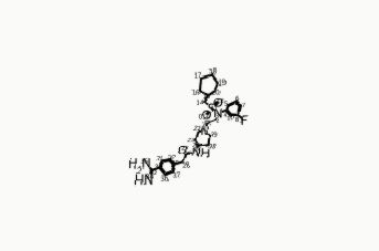 C[C@H](CN(c1cccc(F)c1)S(=O)(=O)CC1CCCCC1)N1CCC(NC(=O)Cc2ccc(C(=N)N)cc2)CC1